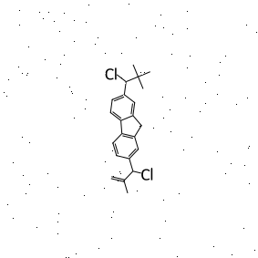 C=C(C)C(Cl)c1ccc2c(c1)Cc1cc(C(Cl)C(C)(C)C)ccc1-2